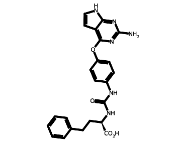 Nc1nc(Oc2ccc(NC(=O)N[C@H](CCc3ccccc3)C(=O)O)cc2)c2cc[nH]c2n1